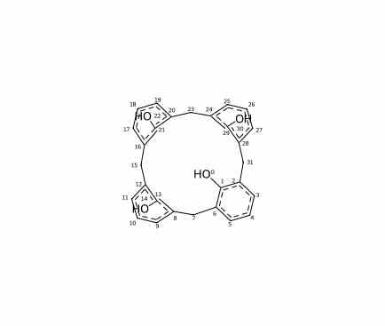 Oc1c2cccc1Cc1cccc(c1O)Cc1cccc(c1O)Cc1cccc(c1O)C2